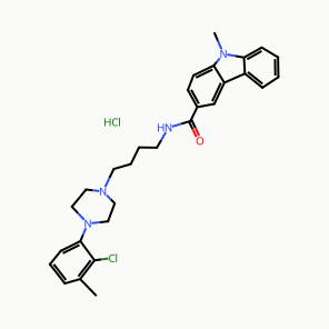 Cc1cccc(N2CCN(CCCCNC(=O)c3ccc4c(c3)c3ccccc3n4C)CC2)c1Cl.Cl